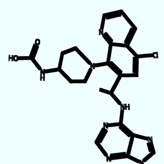 CC(Nc1ncnc2[nH]cnc12)c1cc(Cl)c2cccnc2c1N1CCC(NC(=O)O)CC1